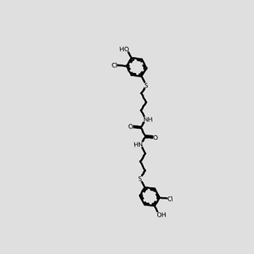 O=C(NCCCSc1ccc(O)c(Cl)c1)C(=O)NCCCSc1ccc(O)c(Cl)c1